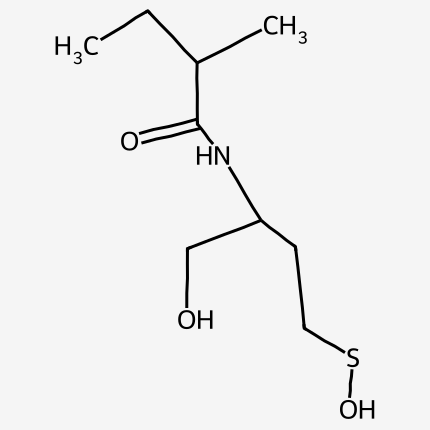 CCC(C)C(=O)NC(CO)CCSO